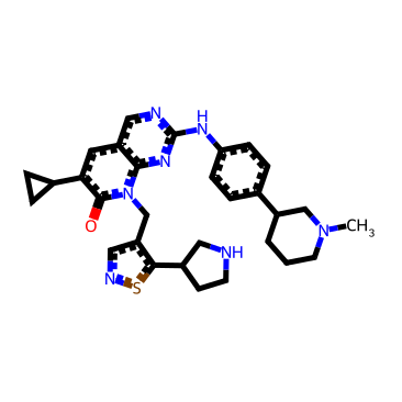 CN1CCCC(c2ccc(Nc3ncc4cc(C5CC5)c(=O)n(Cc5cnsc5C5CCNC5)c4n3)cc2)C1